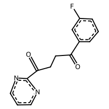 O=C(CCC(=O)c1ncccn1)c1cccc(F)c1